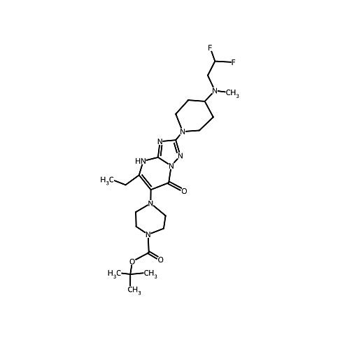 CCc1[nH]c2nc(N3CCC(N(C)CC(F)F)CC3)nn2c(=O)c1N1CCN(C(=O)OC(C)(C)C)CC1